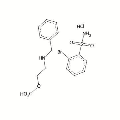 Cl.NS(=O)(=O)c1ccccc1Br.O=C(O)OCCNCc1ccccc1